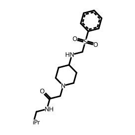 CC(C)CNC(=O)CN1CCC(NCS(=O)(=O)c2ccccc2)CC1